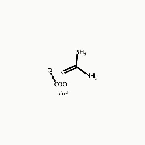 NC(N)=S.O=C([O-])[O-].[Zn+2]